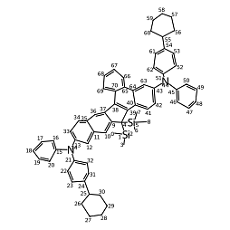 C[Si](C)(C)C1([Si](C)(C)C)c2cc3cc(N(c4ccccc4)c4ccc(C5CCCCC5)cc4)ccc3cc2-c2c1c1ccc(N(c3ccccc3)c3ccc(C4CCCCC4)cc3)cc1c1ccccc21